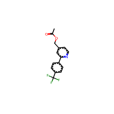 CC(=O)OCc1ccnc(-c2ccc(C(F)(F)F)cc2)c1